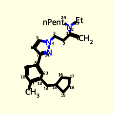 C=C(CCn1ccc(-c2ccc(C)c(CC3CCCC3)c2)n1)N(CC)CCCCC